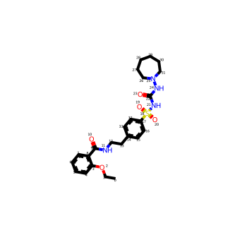 CCOc1ccccc1C(=O)NCCc1ccc(S(=O)(=O)NC(=O)NN2CCCCCC2)cc1